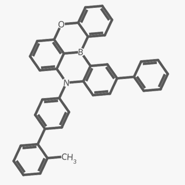 Cc1ccccc1-c1ccc(N2c3ccc(-c4ccccc4)cc3B3c4ccccc4Oc4cccc2c43)cc1